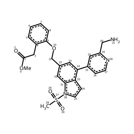 COC(=O)Cc1ccccc1OCc1cc(-c2ccnc(CN)c2)c2ccn(S(C)(=O)=O)c2c1